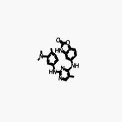 Cc1ccc(Nc2ncc(C)c(Nc3ccc4oc(=O)[nH]c4c3)n2)cc1N(C)C